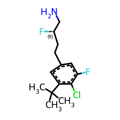 CC(C)(C)c1cc(CC[C@@H](F)CN)cc(F)c1Cl